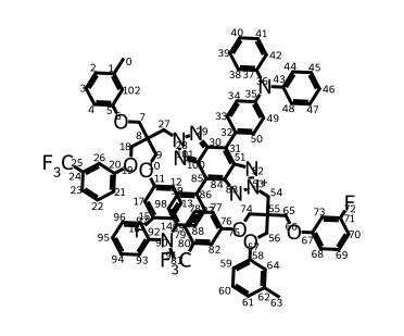 Cc1cccc(OCC(COc2cccc(F)c2)(COc2cccc(C(F)(F)F)c2)Cn2nc3c(-c4ccc(N(c5ccccc5)c5ccccc5)cc4)c4n[n+](CC(COc5cccc(C)c5)(COc5cccc(F)c5)COc5cccc(C(F)(F)F)c5)[n-]c4c(-c4ccc(N(C)c5ccccc5)cc4)c3n2)c1